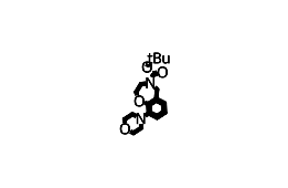 CC(C)(C)OC(=O)N1CCOc2c(cccc2N2CCOCC2)C1